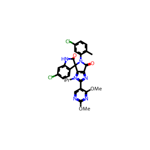 COc1ncc(-c2nc3c(n2C(C)C)C2(C(=O)Nc4cc(Cl)ccc42)N(c2cc(Cl)ccc2C)C3=O)c(OC)n1